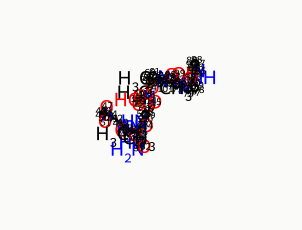 CCCC1(OCCN(CCS(=O)(=O)O)C(=O)OCc2ccc(NC(=O)[C@H](CCCNC(N)=O)NC(=O)[C@@H](NC(=O)CCCCCN3C(=O)C=CC3=O)C(C)C)cc2)CC2(C)CCCC(Cn3ncc(-c4ccc(N5CCc6cccc(C(=O)Nc7nc8ccccc8s7)c6C5)nc4C(=O)O)c3C)(C2)C1